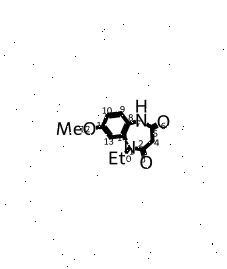 CCN1C(=O)CC(=O)Nc2ccc(OC)cc21